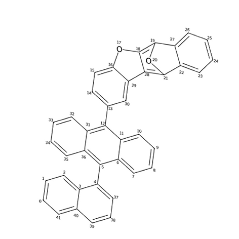 c1ccc2c(-c3c4ccccc4c(-c4ccc5oc6c7oc(c8ccccc87)c6c5c4)c4ccccc34)cccc2c1